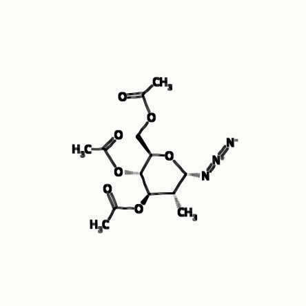 CC(=O)OC[C@H]1O[C@H](N=[N+]=[N-])[C@H](C)[C@@H](OC(C)=O)[C@@H]1OC(C)=O